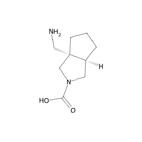 NC[C@]12CCC[C@H]1CN(C(=O)O)C2